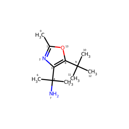 Cc1nc(C(C)(C)N)c(C(C)(C)C)o1